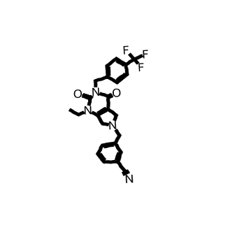 CCn1c2c(c(=O)n(Cc3ccc(C(F)(F)F)cc3)c1=O)CN(Cc1cccc(C#N)c1)C2